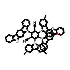 Cc1ccc2c(c1)c1cc(C)ccc1n2-c1c(C#N)c(-n2c3ccccc3c3cc4c(cc32)oc2ccccc24)c(C#N)c(-n2c3ccc(C)cc3c3cc(C)ccc32)c1-n1c2ccccc2c2cc3c(cc21)oc1ccccc13